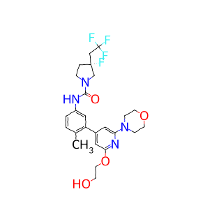 Cc1ccc(NC(=O)N2CC[C@@](F)(CC(F)(F)F)C2)cc1-c1cc(OCCO)nc(N2CCOCC2)c1